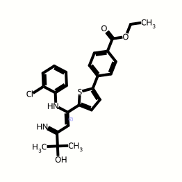 CCOC(=O)c1ccc(-c2ccc(/C(=C/C(=N)C(C)(C)O)Nc3ccccc3Cl)s2)cc1